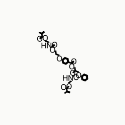 C=C(C)C(=O)OCCNC(=O)OCCCOc1ccc(C(=O)OCC(COc2ccccc2)OC(=O)NCCOC(=O)C(=C)C)cc1